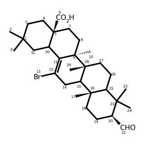 CC1(C)CC[C@]2(C(=O)O)CC[C@]3(C)C(=C(Br)CC4[C@@]5(C)CC[C@H](C=O)C(C)(C)C5CC[C@]43C)C2C1